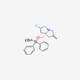 C=C1CN2C[C@H](F)C[C@]2(CO[Si](c2ccccc2)(c2ccccc2)C(C)(C)C)C1